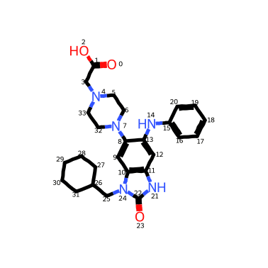 O=C(O)CN1CCN(c2cc3c(cc2Nc2ccccc2)[nH]c(=O)n3CC2CCCCC2)CC1